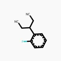 N#CCC(CC#N)c1ccccc1F